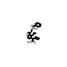 C=CCc1c(C(C(O)=S)C2CCC2)ccc2scc(CCNC(=O)c3ccccc3)c12